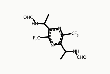 CC(NC=O)c1nc(C(F)(F)F)c(C(C)NC=O)nc1C(F)(F)F